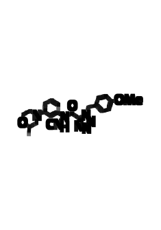 COc1ccc(Cn2nnnc2C(=O)Nc2cccc(N3CCOC(C)C3)c2C#N)cc1